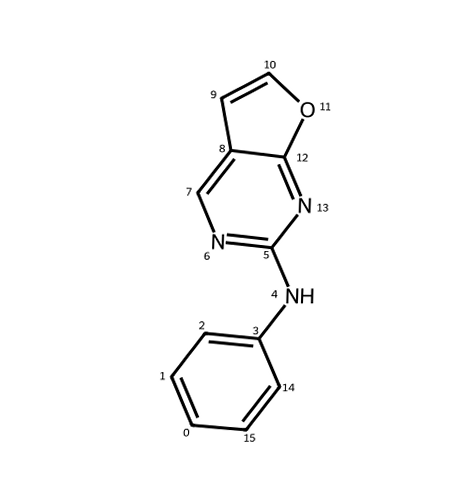 c1ccc(Nc2ncc3ccoc3n2)cc1